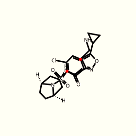 NCc1ccc(S(=O)(=O)N2[C@@H]3CC[C@H]2C[C@@H](NC(=O)c2cc(C4CC4)on2)C3)c(Cl)c1